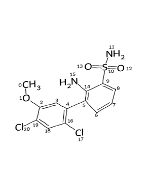 COc1cc(-c2cccc(S(N)(=O)=O)c2N)c(Cl)cc1Cl